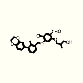 Cc1c(COc2cc(OCC(C)CO)c(C=O)cc2Cl)cccc1-c1ccc2c(c1)OCCO2